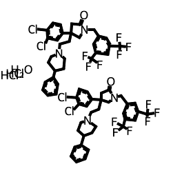 Cl.Cl.O.O=C1CC(CCN2CCC(c3ccccc3)CC2)(c2ccc(Cl)c(Cl)c2)CN1Cc1cc(C(F)(F)F)cc(C(F)(F)F)c1.O=C1CC(CCN2CCC(c3ccccc3)CC2)(c2ccc(Cl)c(Cl)c2)CN1Cc1cc(C(F)(F)F)cc(C(F)(F)F)c1